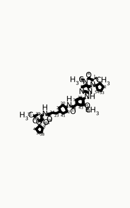 CC[C@@H]1C(=O)N(C)c2cnc(Nc3ccc(C(=O)NC4CCC(CCC(=O)N[C@@H](CC(C)C)C(=O)OC5CCCC5)CC4)cc3OC)nc2N1C1CCCC1